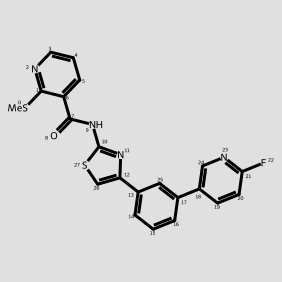 CSc1ncccc1C(=O)Nc1nc(-c2cccc(-c3ccc(F)nc3)c2)cs1